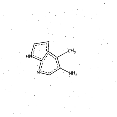 Cc1c(N)cnc2[nH]ccc12